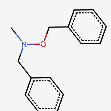 CN(Cc1ccccc1)OCc1ccccc1